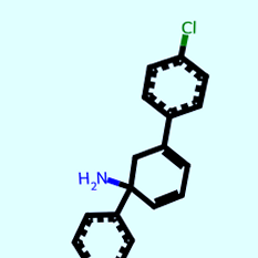 NC1(c2ccccc2)C=CC=C(c2ccc(Cl)cc2)C1